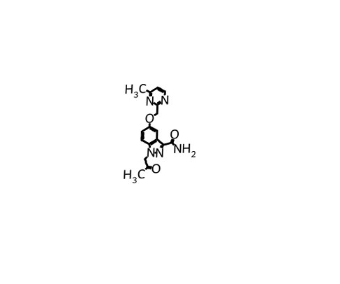 CC(=O)Cn1nc(C(N)=O)c2cc(OCc3nccc(C)n3)ccc21